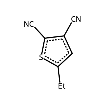 CCc1cc(C#N)c(C#N)s1